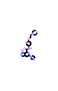 O=C(Nc1ccc(OCCN2CCOCC2)nc1)c1nc(-n2ccnc2)cc2cn[nH]c12